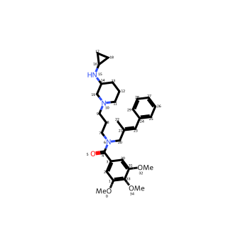 COc1cc(C(=O)N(CCCN2CCCC(NC3CC3)C2)C/C(C)=C/c2ccccc2)cc(OC)c1OC